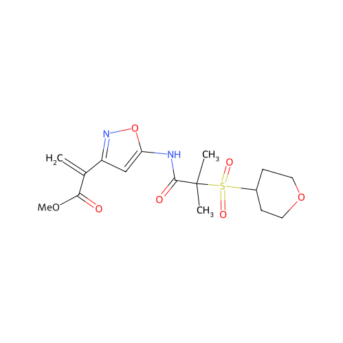 C=C(C(=O)OC)c1cc(NC(=O)C(C)(C)S(=O)(=O)C2CCOCC2)on1